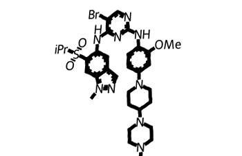 COc1cc(N2CCC(N3CCN(C)CC3)CC2)ccc1Nc1ncc(Br)c(Nc2cc3cnn(C)c3cc2S(=O)(=O)C(C)C)n1